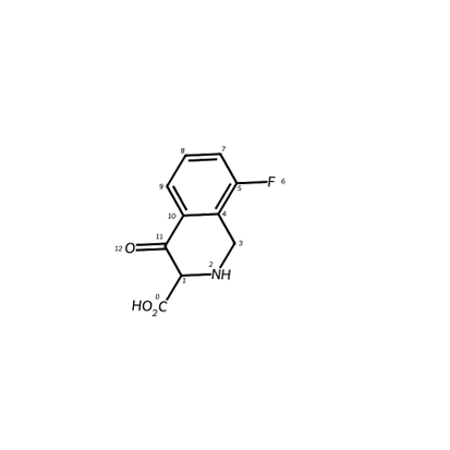 O=C(O)C1NCc2c(F)cccc2C1=O